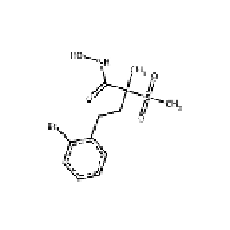 CC(CCc1ccccc1Br)(C(=O)NO)S(C)(=O)=O